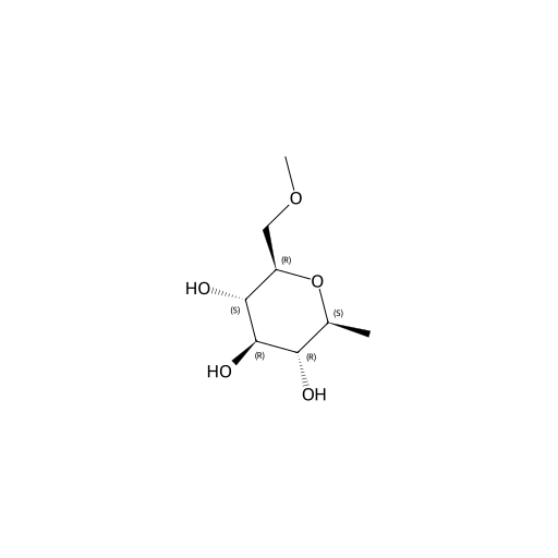 COC[C@H]1O[C@@H](C)[C@H](O)[C@@H](O)[C@@H]1O